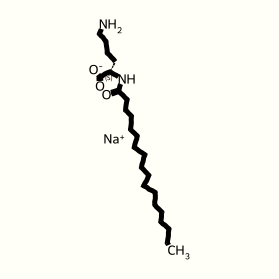 CCCCCCCCCCCCCCCCCC(=O)N[C@@H](CCCCN)C(=O)[O-].[Na+]